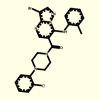 Cc1ccccc1Nc1c(C(=O)N2CCN(c3ccccc3Cl)CC2)cnc2c(Br)cnn12